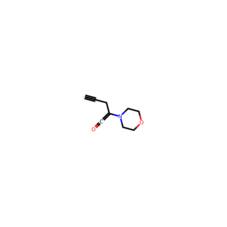 [C]#CCC(=C=O)N1CCOCC1